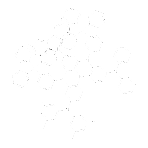 Cc1cc(C)cc(N(c2cc(C)cc(C)c2)c2ccc3c(c2)N(c2cccc([Si](c4ccccc4)(c4ccccc4)c4ccccc4)c2)c2cc(-n4c5ccc(C)cc5c5cc(C)ccc54)cc4c2B3c2ccc(N(c3ccccc3)c3ccccc3)cc2N4c2cccc([Si](c3ccccc3)(c3ccccc3)c3ccccc3)c2)c1